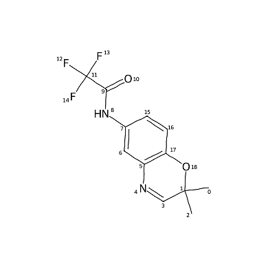 CC1(C)C=Nc2cc(NC(=O)C(F)(F)F)ccc2O1